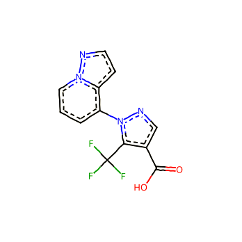 O=C(O)c1cnn(-c2cccn3nccc23)c1C(F)(F)F